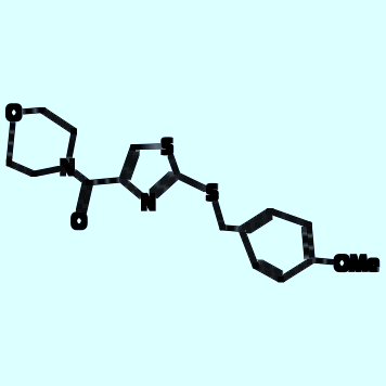 COc1ccc(CSc2nc(C(=O)N3CCOCC3)cs2)cc1